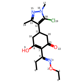 CCON=C(CC)C1=C(O)CC(c2c(C)nn(C)c2Cl)CC1=O